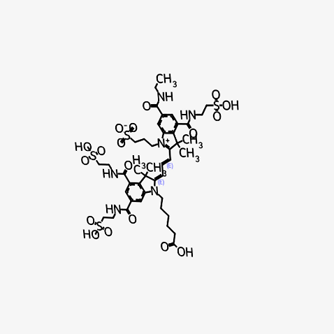 CCNC(=O)c1cc(C(=O)NCCS(=O)(=O)O)c2c(c1)[N+](CCCS(=O)(=O)[O-])=C(/C=C/C=C1/N(CCCCCC(=O)O)c3cc(C(=O)NCCS(=O)(=O)O)cc(C(=O)NCCS(=O)(=O)O)c3C1(C)C)C2(C)C